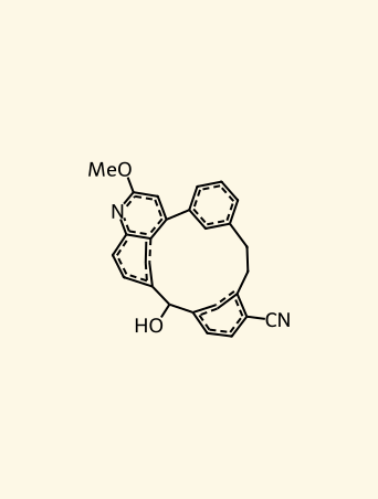 COc1cc2c3cc(ccc3n1)C(O)c1ccc(C#N)c(c1)CCc1cccc-2c1